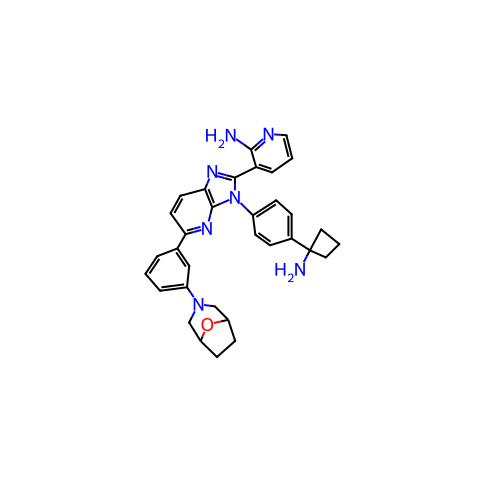 Nc1ncccc1-c1nc2ccc(-c3cccc(N4CC5CCC(C4)O5)c3)nc2n1-c1ccc(C2(N)CCC2)cc1